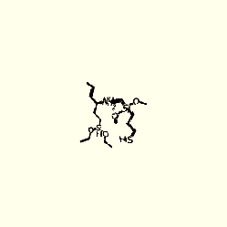 C=C[Si](CCCS)(OC)OC.CC=CC(N)CC[SiH](OCC)OCC